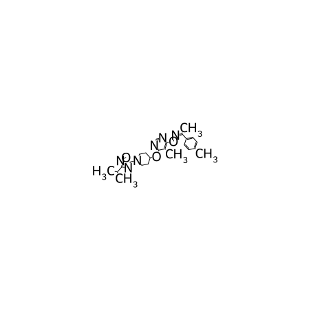 CC(=NOc1ncnc(OC2CCN(c3nc(C(C)C)no3)CC2)c1C)c1ccc(C)cc1